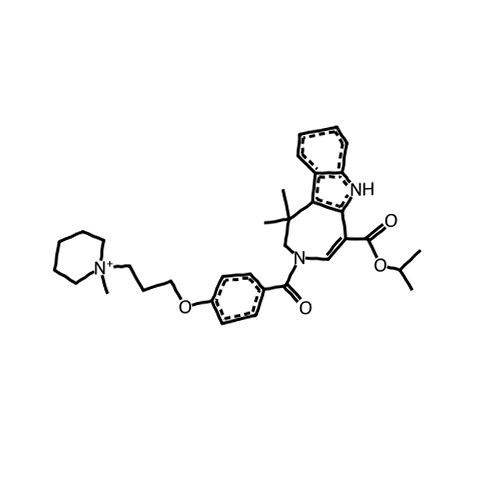 CC(C)OC(=O)C1=CN(C(=O)c2ccc(OCCC[N+]3(C)CCCCC3)cc2)CC(C)(C)c2c1[nH]c1ccccc21